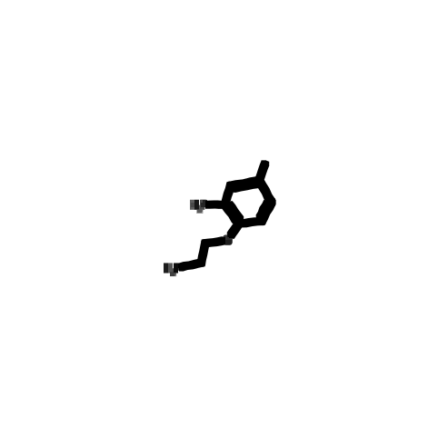 Cc1ccc(OCCP)c(P)c1